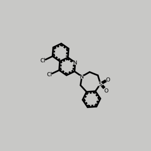 O=S1(=O)CCN(c2cc(Cl)c3c(Cl)cccc3n2)Cc2ccccc21